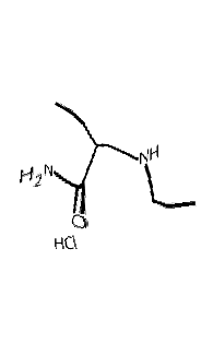 CCNC(CC)C(N)=O.Cl